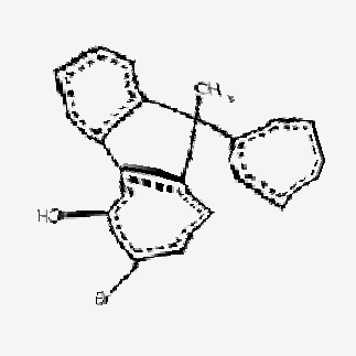 CC1(c2ccccc2)c2ccccc2-c2c1ccc(Br)c2O